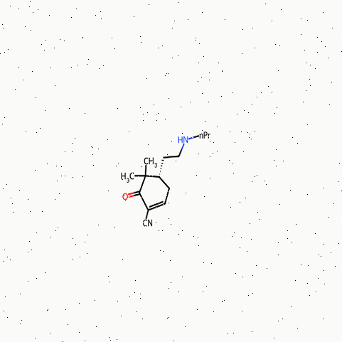 CCCNCC[C@@H]1CC=C(C#N)C(=O)C1(C)C